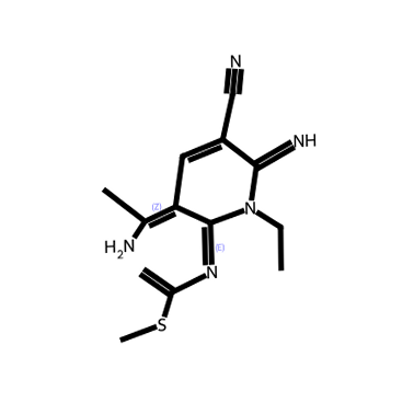 C=C(/N=C1\C(=C(\C)N)C=C(C#N)C(=N)N1CC)SC